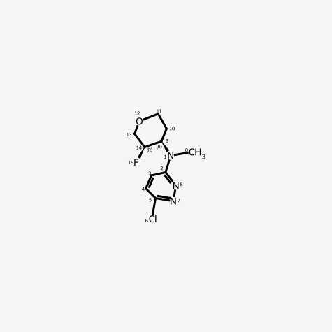 CN(c1ccc(Cl)nn1)[C@@H]1CCOC[C@@H]1F